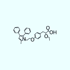 CCOC(Cc1ccc(OCCn2c(C)cc(-c3ccccc3)c2-c2ccccc2)cc1)C(=O)O